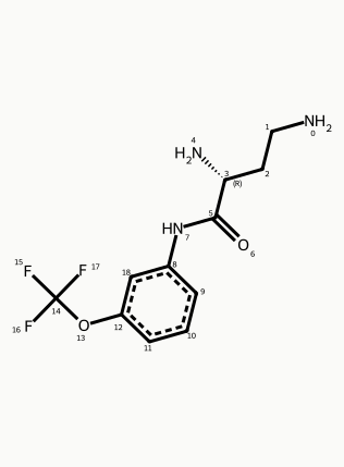 NCC[C@@H](N)C(=O)Nc1cccc(OC(F)(F)F)c1